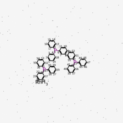 [RhH3].c1ccc(P(c2ccccc2)c2ccccc2)cc1.c1ccc(P(c2ccccc2)c2ccccc2)cc1.c1ccc(P(c2ccccc2)c2ccccc2)cc1